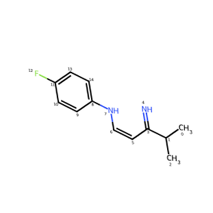 CC(C)C(=N)/C=C\Nc1ccc(F)cc1